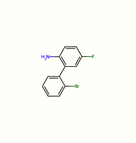 Nc1ccc(F)cc1-c1ccccc1Br